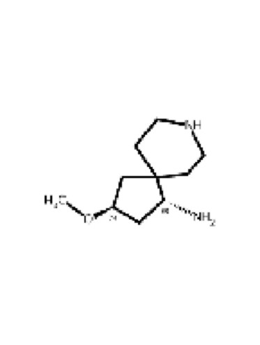 CO[C@@H]1C[C@@H](N)C2(CCNCC2)C1